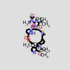 CCn1c(-c2cccnc2[C@H](C)OC)c2c3cc(ccc31)-c1csc(n1)C[C@H](NC(=O)[C@H](C(C)C)N(C)C(=O)N(C)C1COC1)C(=O)N1CCC[C@](C=O)(COCC(C)(C)C2)N1